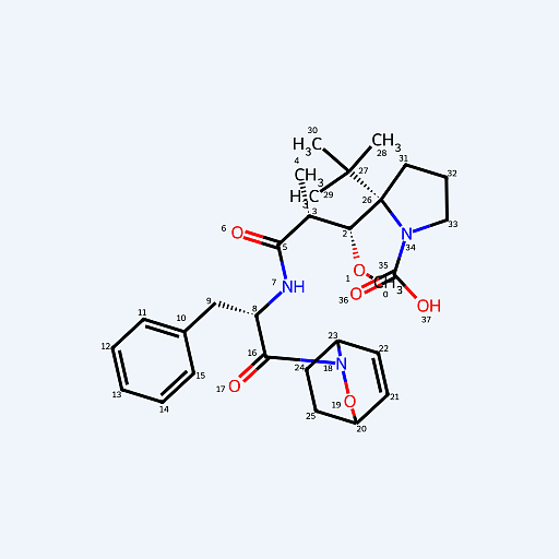 CO[C@H]([C@@H](C)C(=O)N[C@@H](Cc1ccccc1)C(=O)N1OC2C=CC1CC2)[C@@]1(C(C)(C)C)CCCN1C(=O)O